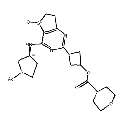 CC(=O)N1CC[C@H](Nc2nc(N3CC(OC(=O)C4CCOCC4)C3)nc3c2[S+]([O-])CC3)C1